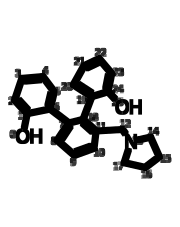 Oc1ccccc1-c1cccc(CN2CCCC2)c1-c1ccccc1O